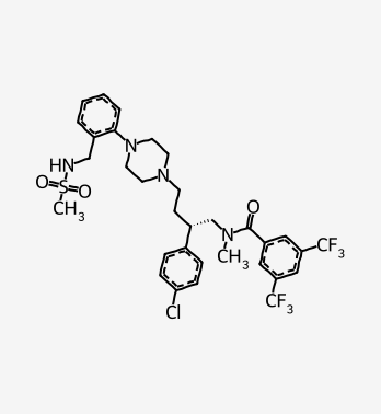 CN(C[C@@H](CCN1CCN(c2ccccc2CNS(C)(=O)=O)CC1)c1ccc(Cl)cc1)C(=O)c1cc(C(F)(F)F)cc(C(F)(F)F)c1